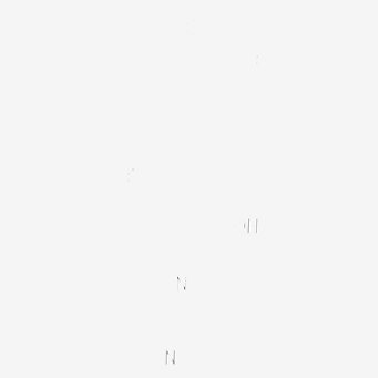 OC(Cn1ccnc1)c1cc(Cl)c(Cl)cc1Cl